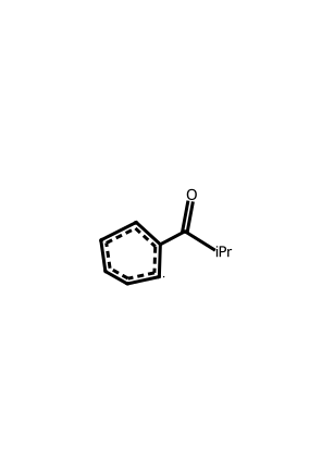 CC(C)C(=O)c1[c]cccc1